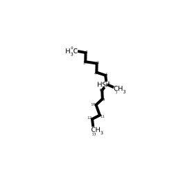 CCCCCC[SiH](C)CCCCCC